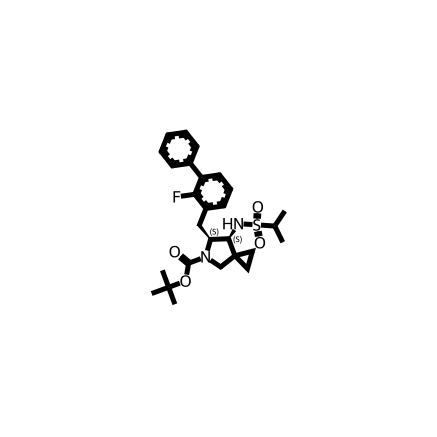 CC(C)S(=O)(=O)N[C@@H]1[C@H](Cc2cccc(-c3ccccc3)c2F)N(C(=O)OC(C)(C)C)CC12CC2